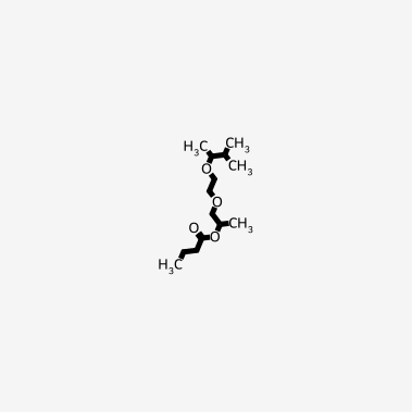 CCCC(=O)OC(C)COCCOC(C)C(C)C